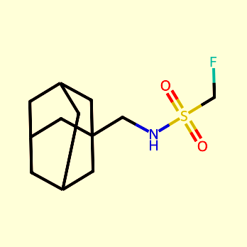 O=S(=O)(CF)NCC12CC3CC(CC(C3)C1)C2